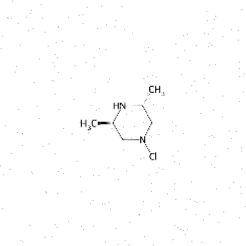 C[C@@H]1CN(Cl)C[C@@H](C)N1